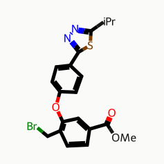 COC(=O)c1ccc(CBr)c(Oc2ccc(-c3nnc(C(C)C)s3)cc2)c1